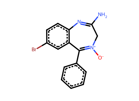 NC1=Nc2ccc(Br)cc2C(c2ccccc2)=[N+]([O-])C1